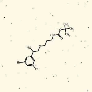 CC(C)(C)OC(=O)NCCCOCC(O)c1cc(Cl)cc(Br)c1